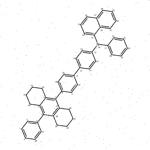 c1ccc(-c2c3c(c(-c4ccc(-c5ccc(N(c6ccccc6)c6cccc7ccccc67)cc5)cc4)c4c2CCCC4)CCCC3)cc1